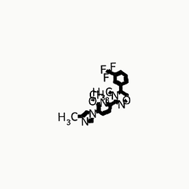 COc1nc(C2=NOCC(c3cccc(C(F)(F)F)c3)N2C)ccc1-n1cnc(C)c1